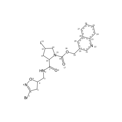 O=C(NCC1CC(Br)=NO1)C1CC(I)CN1C(=O)OCc1cnc2ccccc2c1